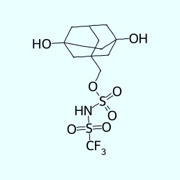 O=S(=O)(NS(=O)(=O)C(F)(F)F)OCC12CC3CC(O)(CC(O)(C3)C1)C2